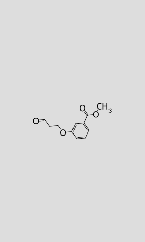 COC(=O)c1cccc(OCCC=O)c1